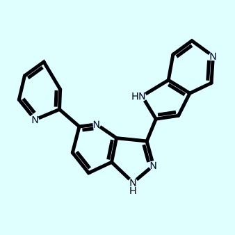 c1ccc(-c2ccc3[nH]nc(-c4cc5cnccc5[nH]4)c3n2)nc1